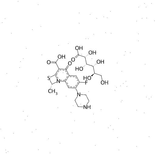 C[C@@H]1Sc2c(C(=O)O)c(=O)c3cc(F)c(N4CCNCC4)cc3n21.O=C(O)[C@H](O)[C@@H](O)[C@H](O)[C@H](O)CO